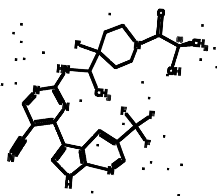 CC(Nc1ncc(C#N)c(-c2c[nH]c3ncc(C(F)(F)F)cc23)n1)C1(F)CCN(C(=O)[C@@H](C)O)CC1